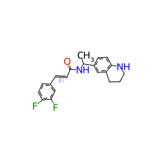 CC(NC(=O)/C=C/c1ccc(F)c(F)c1)c1ccc2c(c1)CCCN2